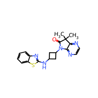 CC1(C)C(=O)N(C2CC(Nc3nc4ccccc4s3)C2)c2nccnc21